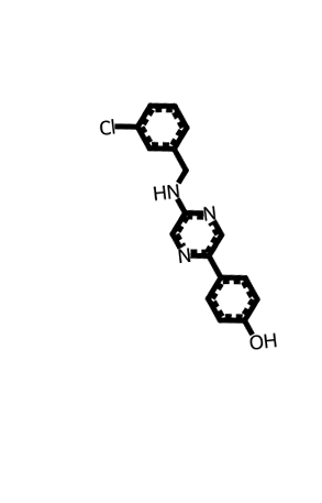 Oc1ccc(-c2cnc(NCc3cccc(Cl)c3)cn2)cc1